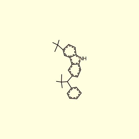 CC(C)(C)c1ccc2[nH]c3ccc(C(c4ccccc4)C(C)(C)C)cc3c2c1